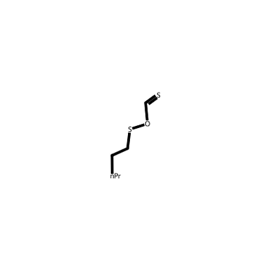 CCCCCSOC=S